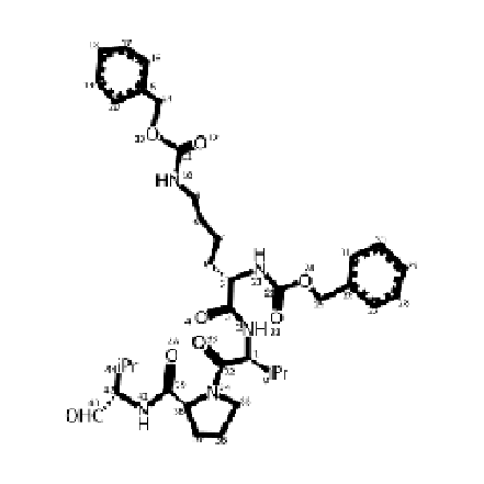 CC(C)[C@H](NC(=O)[C@H](CCCCNC(=O)OCc1ccccc1)NC(=O)OCc1ccccc1)C(=O)N1CCC[C@H]1C(=O)N[C@H](C=O)C(C)C